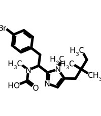 CCC(C)(C)Cc1cnc(C(Cc2ccc(Br)cc2)N(C)C(=O)O)n1C